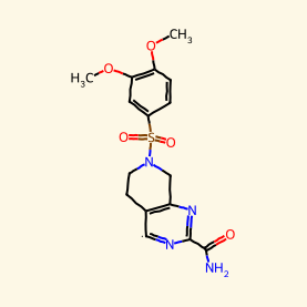 COc1ccc(S(=O)(=O)N2CCc3[c]nc(C(N)=O)nc3C2)cc1OC